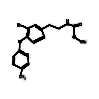 Cc1ccc(Oc2ccc(CCNC(=O)OC(C)(C)C)cc2Br)nc1